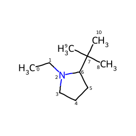 CCN1CCCC1C(C)(C)C